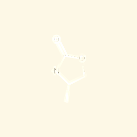 C[C@H]1COC(=O)[N]1